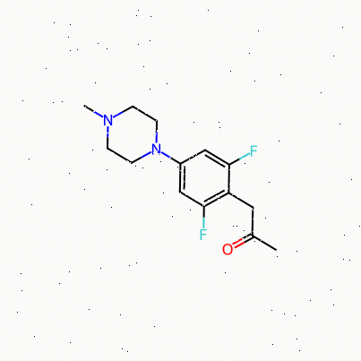 CC(=O)Cc1c(F)cc(N2CCN(C)CC2)cc1F